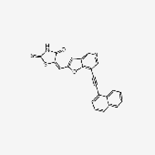 O=C1NC(=S)S/C1=C/c1cc2cncc(C#Cc3cccc4ccccc34)c2o1